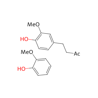 COc1cc(CCC(C)=O)ccc1O.COc1ccccc1O